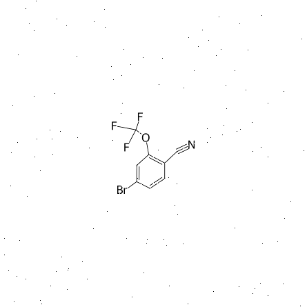 N#Cc1ccc(Br)cc1OC(F)(F)F